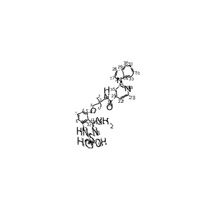 CC(C)(COc1cccc2c1C(N)=NS(O)(O)N2)NC(=O)c1ccnc(-n2ccc3ccccc32)c1